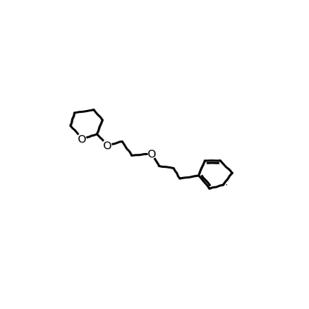 [CH]1C=C(CCCOCCOC2CCCCO2)C=CC1